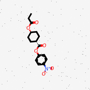 CCC(=O)O[C@H]1CC[C@H](C(=O)Oc2ccc([N+](=O)[O-])cc2)CC1